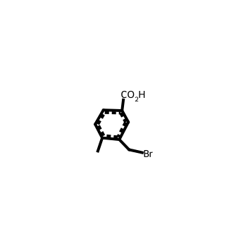 Cc1ccc(C(=O)O)cc1CBr